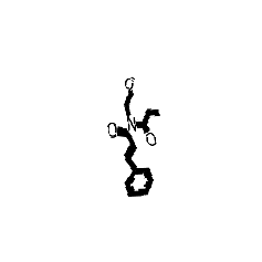 CCC(=O)N(CCOC)C(=O)/C=C/c1ccccc1